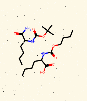 CCCCC(NC(=O)OC(C)(C)C)C(N)=O.CCCCOC(=O)NC(CCCC)C(=O)O